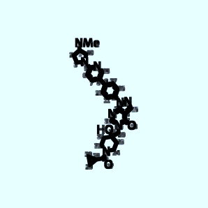 CNC1CCN(c2ccc(-c3ccc(-n4ncc5c(=O)n(CC6(O)CCN(C(=O)C7CC7)CC6)cnc54)cc3)cn2)C1